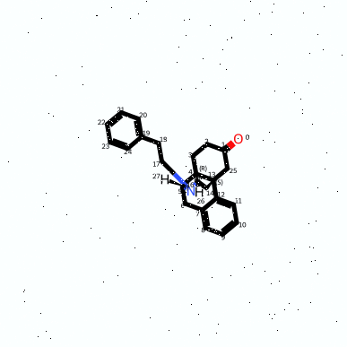 O=C1CC[C@H]2[C@H]3Cc4ccccc4[C@@]2(CCN3CCc2ccccc2)C1